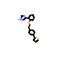 c1csc(-c2ccc(CCOc3ccccc3-c3c[nH]cn3)cc2)c1